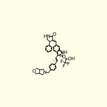 O=C(O)C(F)(F)F.O=C1NCC(c2ccccc2)/C1=C\c1ccc2c(/C=C/c3ccc(CN4CC5COCC5C4)cc3)n[nH]c2c1